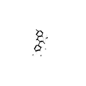 COc1ccc(-c2c(C)n(C(=O)O)c3ccc(C)cc3c2=O)c(OC)c1OC